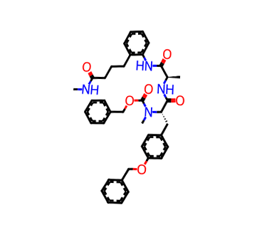 CNC(=O)CCCc1ccccc1NC(=O)[C@@H](C)NC(=O)[C@H](Cc1ccc(OCc2ccccc2)cc1)N(C)C(=O)OCc1ccccc1